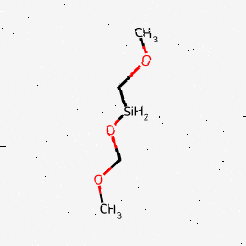 COCO[SiH2]COC